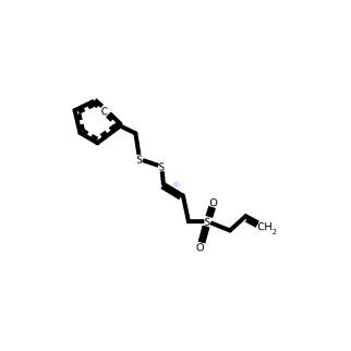 C=CCS(=O)(=O)C/C=C/SSCc1ccccc1